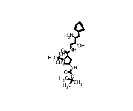 CC(C)(C)OC(=O)N[C@@H]1C[C@@H](C(=O)NC[C@@H](O)[C@@H](N)Cc2ccccc2)N(C(C)(C)C)C1